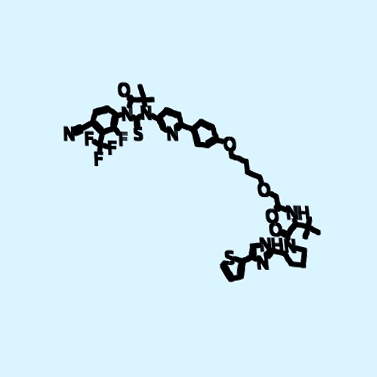 CC(C)(C)C(NC(=O)COCCCCOc1ccc(-c2ccc(N3C(=S)N(c4ccc(C#N)c(C(F)(F)F)c4F)C(=O)C3(C)C)cn2)cc1)C(=O)N1CCCC1c1nc(-c2cccs2)c[nH]1